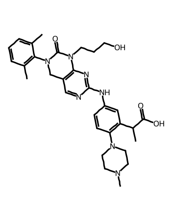 Cc1cccc(C)c1N1Cc2cnc(Nc3ccc(N4CCN(C)CC4)c(C(C)C(=O)O)c3)nc2N(CCCO)C1=O